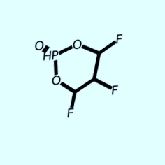 O=[PH]1OC(F)C(F)C(F)O1